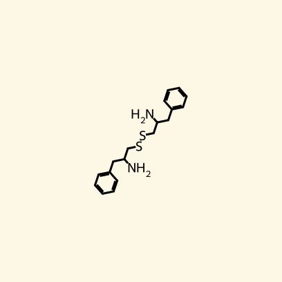 NC(CSSCC(N)Cc1ccccc1)Cc1ccccc1